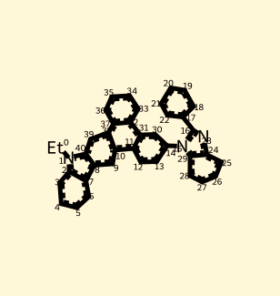 CCn1c2ccccc2c2cc3c4ccc(-n5c(-c6ccccc6)nc6ccccc65)cc4c4ccccc4c3cc21